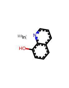 Oc1cccc2cccnc12.[111In]